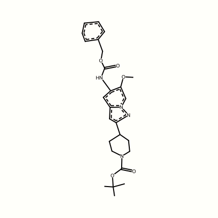 COc1cn2nc(C3CCN(C(=O)OC(C)(C)C)CC3)cc2cc1NC(=O)OCc1ccccc1